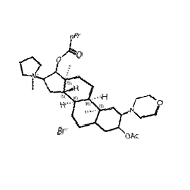 CCCC(=O)OC1C([N+]2(C)CCCC2)C[C@H]2[C@@H]3CCC4CC(OC(C)=O)C(N5CCOCC5)C[C@]4(C)[C@@H]3CC[C@]12C.[Br-]